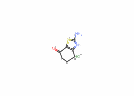 Cl.Nc1nc2c(s1)C(=O)CCC2